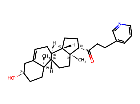 C[C@]12CC[C@H]3[C@@H](CC=C4C[C@@H](O)CC[C@@]43C)[C@@H]1CC[C@@H]2C(=O)CCc1cccnc1